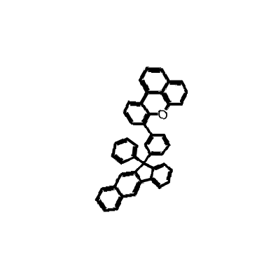 c1ccc(C2(c3cccc(-c4cccc5c4Oc4cccc6cccc-5c46)c3)c3ccccc3-c3cc4ccccc4cc32)cc1